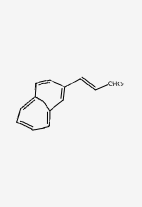 O=[C]C=Cc1ccc2ccccc2c1